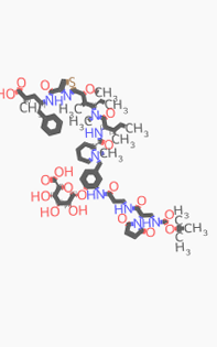 CC[C@H](C(C)C(OC)c1nc(C(=O)N[C@@H](Cc2ccccc2)C[C@H](C)C(=O)O)cs1)N(C)C(=O)[C@@H](NC(=O)[C@H]1CCCC[N+]1(C)Cc1ccc(O[C@@H]2O[C@H](C(=O)O)[C@@H](O)[C@H](O)[C@H]2O)c(NC(=O)CCNC(=O)C(CNC(=O)OC(C)(C)C)N2C(=O)C=CC2=O)c1)[C@@H](C)CC